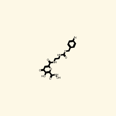 CC(=O)c1ccc(COC(=O)NCCNC(=O)c2cc(=O)c(O)c(C(=O)NO)o2)cc1